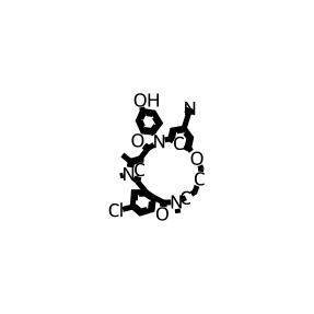 Cc1c2cc(n1C)-c1cc(Cl)ccc1C(=O)N(C)CCCCOc1cc(C#N)cc(c1)N(c1ccc(O)cc1)C2=O